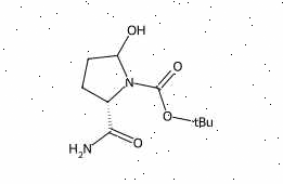 CC(C)(C)OC(=O)N1C(O)CC[C@H]1C(N)=O